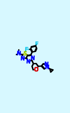 CN(C)c1nc2nc(C3CCOC(c4cnn(C5CC5)c4)C3)nc(-c3ccc(F)cc3F)c2s1